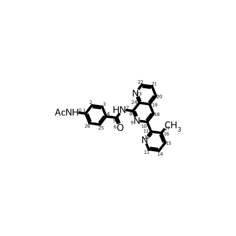 CC(=O)Nc1ccc(C(=O)Nc2nc(-c3ncccc3C)cc3cccnc23)cc1